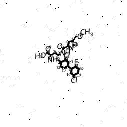 COCc1cc(C(=O)N[C@H](Cc2ccc(-c3cc(Cl)ccc3F)cc2Cl)C[C@@H](N)C(=O)O)no1